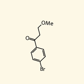 COCCC(=O)c1ccc(Br)cc1